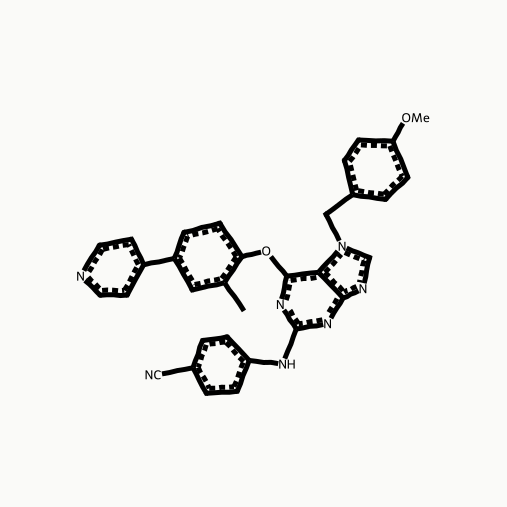 COc1ccc(Cn2cnc3nc(Nc4ccc(C#N)cc4)nc(Oc4ccc(-c5ccncc5)cc4C)c32)cc1